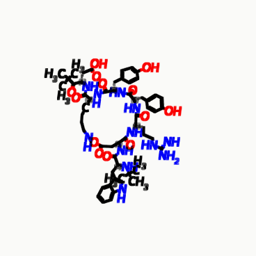 CC(C)(C)N[C@@H](Cc1c[nH]c2ccccc12)C(=O)N[C@H]1CC(=O)ONCCCC[C@@H](C(=O)N[C@@H](CC(=O)O)C(=O)C(C)(C)C)NC(=O)[C@H](Cc2ccc(O)cc2)NC(=O)[C@H](Cc2ccc(O)cc2)NC(=O)[C@H](CCCNC(=N)N)NC1=O